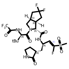 CC(C)(C)[C@@H](NC(=O)C(F)(F)F)C(=O)N1C[C@H]2CC(F)(F)C[C@H]2[C@@H]1C(=O)N[C@@H](/C=C(\F)S(C)(=O)=O)C[C@H]1CCNC1=O